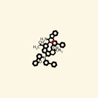 CC(C)c1cc(C2C=CC3=C(Cc4ccccc43)C2N)cc2c1ccc1c(N(c3cccc(-c4ccccc4)c3)c3cccc4c3oc3ccccc34)cc3c(c12)/C(=C/c1cccc(-c2ccccc2)c1)C(C)(C)CC3